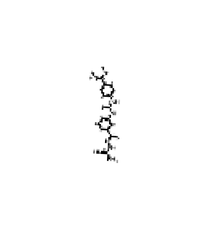 C/N=C(\NC)c1ccc(NC(=S)Nc2cccc(/C(C)=N/NC(=N)N)c2)cc1